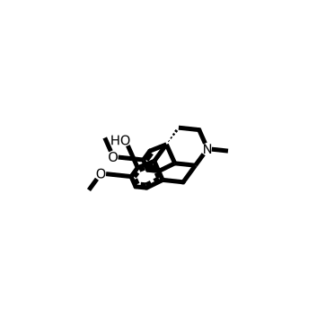 COC1=C[C@]23CCN(C)C(Cc4ccc(OC)c(O)c42)C3C=C1